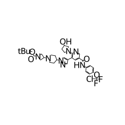 CC(C)(C)OC(=O)N1CC(N2CCC(n3cc(-c4cc(C(=O)Nc5ccc(OC(F)(F)Cl)cc5)cnc4N4CC[C@@H](O)C4)cn3)CC2)C1